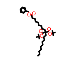 CCCCCCCCCCC(CCCCCCCCC(=O)OCc1ccccc1)(C(=O)OC(C)(C)C)C(=O)OC(C)(C)C